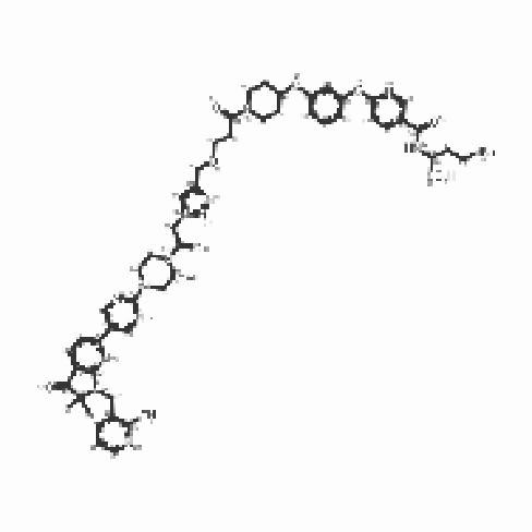 C[C@@H]1CN(c2ncc(-c3ccc4c(n3)N(Cc3cccnc3C#N)C(C)(C)C4=O)cn2)CCN1C(=O)Cn1cc(COCCC(=O)N2CCC(Oc3cccc(Oc4ccc(C(=O)N[C@@H](CCC(C)(C)C)C(=O)O)cn4)c3)CC2)nn1